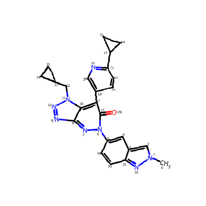 Cn1cc2cc(-n3nc4nnn(CC5CC5)c4c(-c4ccc(C5CC5)nc4)c3=O)ccc2n1